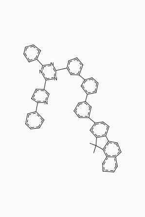 CC1(C)c2cc(-c3cccc(-c4cccc(-c5cccc(-c6nc(-c7ccccc7)nc(-c7ccc(-c8ccccc8)nc7)n6)c5)c4)c3)ccc2-c2ccc3ccccc3c21